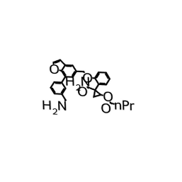 CCCC(=O)OC1CC1(C(N)=O)c1ccccc1OCc1cc(-c2cccc(CN)c2)c2occc2c1